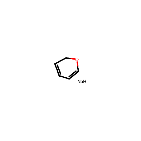 C1=CCOC=C1.[NaH]